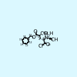 C#CN[C@@H](CC(C(=O)O)C(=O)OCc1ccccc1)C(=O)Cl